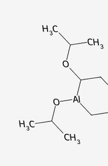 CC(C)O[CH]1CCC[CH2][Al]1[O]C(C)C